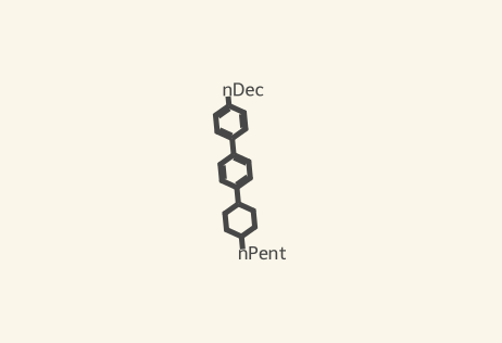 CCCCCCCCCCc1ccc(-c2ccc(C3CCC(CCCCC)CC3)cc2)cc1